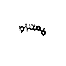 Cc1ccccc1-c1ccc2nc(N)c(C[C@@H](C)C(=O)NC3CC(C)OC(C)C3)cc2c1